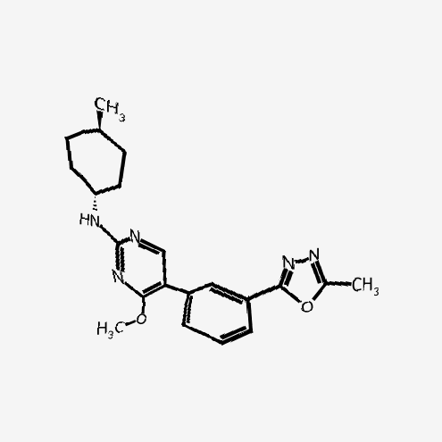 COc1nc(N[C@H]2CC[C@H](C)CC2)ncc1-c1cccc(-c2nnc(C)o2)c1